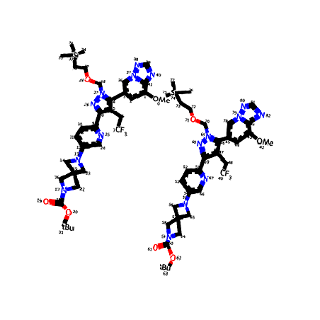 COc1cc(-c2c(CC(F)(F)F)c(-c3ccc(N4CC5(CN(C(=O)OC(C)(C)C)C5)C4)cn3)nn2COCC[Si](C)(C)C)cn2ncnc12.COc1cc(-c2c(CC(F)(F)F)c(-c3ccc(N4CC5(CN(C(=O)OC(C)(C)C)C5)C4)cn3)nn2COCC[Si](C)(C)C)cn2ncnc12